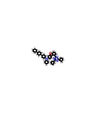 c1ccc(-c2ccc(-c3ccc(N(c4ccccc4)c4ccc5c(c4)oc4cccc(-c6nc(-c7ccccc7)nc(-c7ccccc7)n6)c45)cc3)cc2)cc1